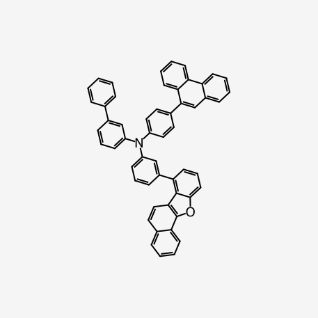 c1ccc(-c2cccc(N(c3ccc(-c4cc5ccccc5c5ccccc45)cc3)c3cccc(-c4cccc5oc6c7ccccc7ccc6c45)c3)c2)cc1